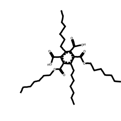 CCCCCCCOC(=O)c1c(CCCCCCC)c(C(=O)OCCCCCCC)c(C(=O)O)c(CCCCCCC)c1C(=O)O